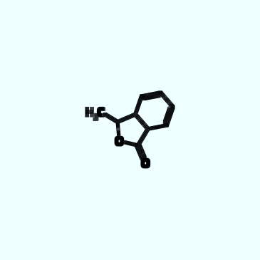 CC1OC(=O)C2C=CC=CC12